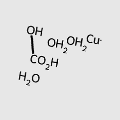 O.O.O.O=C(O)O.[Cu]